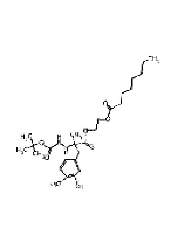 CCCCCCCC(=O)OCCOC(=O)C(C)(Cc1ccc(O)c(O)c1)NNC(=O)OC(C)(C)C